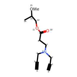 C#CCN(CC#C)CCC(=O)OCC(C)OC